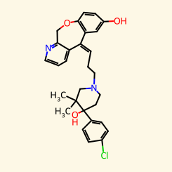 CC1(C)CN(CCC=C2c3cc(O)ccc3OCc3ncccc32)CCC1(O)c1ccc(Cl)cc1